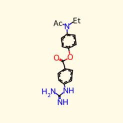 CCN(C(C)=O)c1ccc(OC(=O)c2ccc(NC(=N)N)cc2)cc1